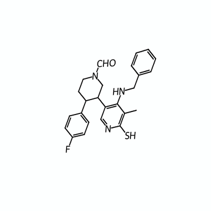 Cc1c(S)ncc(C2CN(C=O)CCC2c2ccc(F)cc2)c1NCc1ccccc1